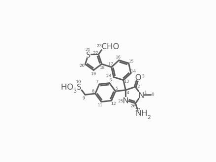 CN1C(=O)C(c2ccc(CS(=O)(=O)O)cc2)(c2cccc(-c3ccsc3C=O)c2)N=C1N